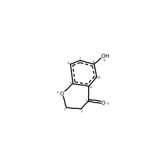 O=C1CCOc2ccc(O)cc21